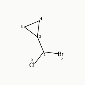 ClC(Br)C1CC1